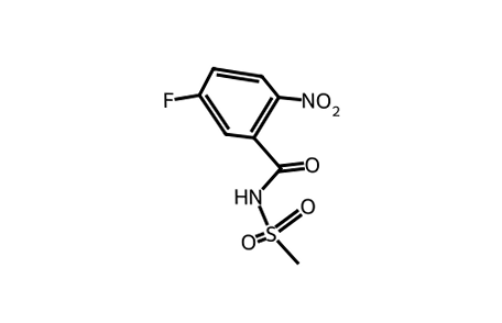 CS(=O)(=O)NC(=O)c1cc(F)ccc1[N+](=O)[O-]